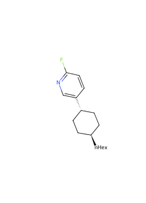 CCCCCC[C@H]1CC[C@H](c2ccc(F)nc2)CC1